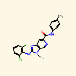 Bc1ccc(NC(=O)c2cc3nc(Nc4c(F)cccc4Cl)n(C)c3cn2)cc1